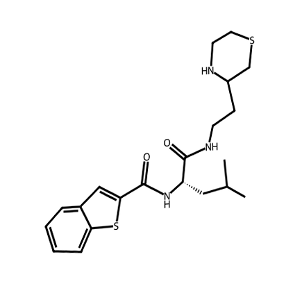 CC(C)C[C@H](NC(=O)c1cc2ccccc2s1)C(=O)NCCC1CSCCN1